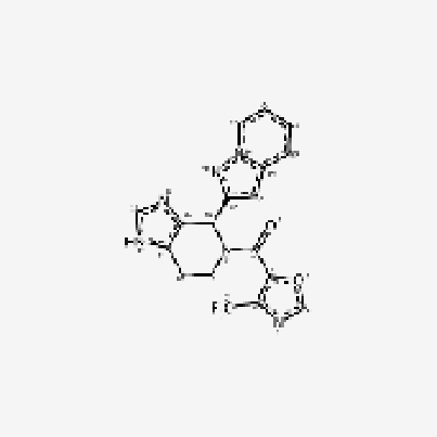 O=C(c1ocnc1C(F)(F)F)N1CCc2[nH]cnc2[C@H]1c1cc2ccccn2n1